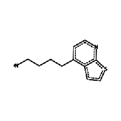 [N]CCCCc1ccnc2sccc12